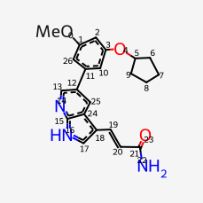 COc1cc(OC2CCCC2)cc(-c2cnc3[nH]cc(C=CC(N)=O)c3c2)c1